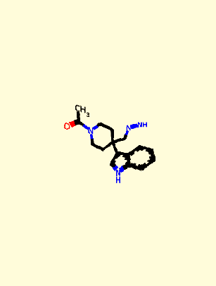 CC(=O)N1CCC(CN=N)(c2c[nH]c3ccccc23)CC1